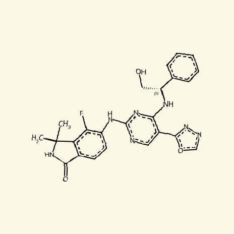 CC1(C)NC(=O)c2ccc(Nc3ncc(-c4nnco4)c(N[C@H](CO)c4ccccc4)n3)c(F)c21